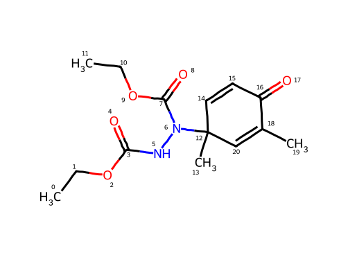 CCOC(=O)NN(C(=O)OCC)C1(C)C=CC(=O)C(C)=C1